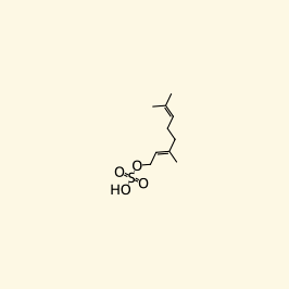 CC(C)=CCCC(C)=CCOS(=O)(=O)O